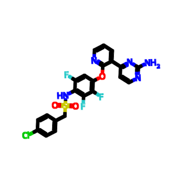 Nc1nccc(-c2cccnc2Oc2cc(F)c(NS(=O)(=O)Cc3ccc(Cl)cc3)c(F)c2F)n1